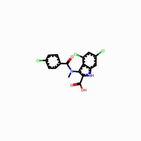 CN(C(=O)c1ccc(Cl)cc1)c1c(C(=O)O)[nH]c2cc(Cl)cc(Cl)c12